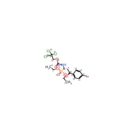 CCOP(=O)(OCC)[C@@H](CC(=O)c1ccc(I)cc1)NC(=O)OCC(Cl)(Cl)Cl